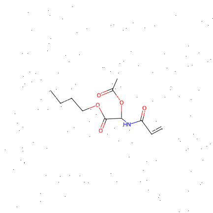 C=CC(=O)NC(OC(C)=O)C(=O)OCCCC